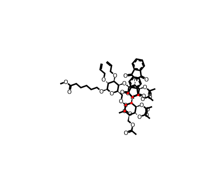 C=CCO[C@H]1[C@@H](O[C@@H]2O[C@H](COC(C)=O)[C@@H](OC(C)=O)[C@H](OC(C)=O)[C@H]2N2C(=O)c3ccccc3C2=O)[C@@H](CO[C@@H]2O[C@H](COC(C)=O)[C@@H](OC(C)=O)[C@H](OC(C)=O)[C@H]2N2C(=O)c3ccccc3C2=O)O[C@@H](OCCCCCC(=O)OC)[C@@H]1OCC=C